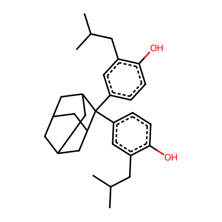 CC(C)Cc1cc(C2(c3ccc(O)c(CC(C)C)c3)C3CC4CC(C3)CC2C4)ccc1O